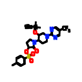 Cc1ccc(S(=O)(=O)OC2CCN(C3CCN(c4ncc(C(F)(F)F)cn4)CC3O[Si](C)(C)C(C)(C)C)C2=O)cc1